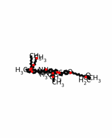 C=C(C)C(=O)OCCCCCCCCCCOc1ccc(-c2ccc(-c3ccc4c(c3)C(CCCCC)(C(C)C)c3cc(-c5ncc(-c6ncc(-c7ccc8c(c7)C(CCCCCCCC)(CCCCCCCC)c7cc(C)ccc7-8)cn6)cn5)ccc3-4)s2)cc1